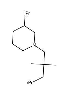 CC(C)CC(C)(C)CN1CCCC(C(C)C)C1